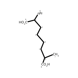 CCCC(CCCCC(C)C(=O)O)C(=O)O